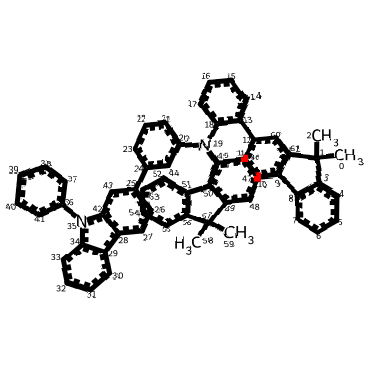 CC1(C)c2ccccc2-c2ccc(-c3ccccc3N(c3cccc(-c4ccc5c6ccccc6n(-c6ccccc6)c5c4)c3)c3cccc4c3-c3ccccc3C4(C)C)cc21